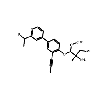 CC#Cc1cc(-c2ccnc(C(F)F)c2)ccc1OC(OC=O)[C@@](C)(N)CC(C)C